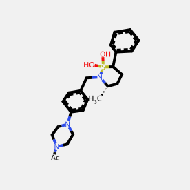 CC(=O)N1CCN(c2ccc(CN3[C@@H](C)CCC(c4ccccc4)S3(O)O)cc2)CC1